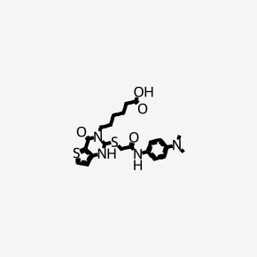 CN(C)c1ccc(NC(=O)CSC2Nc3ccsc3C(=O)N2CCCCCC(=O)O)cc1